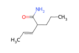 CC=CC(CCC)C(N)=O